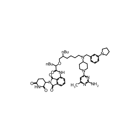 CCCCC(CCCCN(Cc1cccc(N2CCCC2)c1)C1CCN(c2cc(C)nc(N)n2)CC1)COC(CCCC)C(=O)Nc1cccc2c1C(=O)N(C1CCC(=O)NC1=O)C2=O